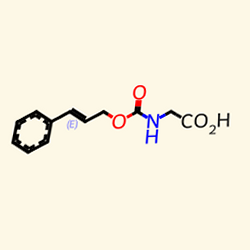 O=C(O)CNC(=O)OC/C=C/c1ccccc1